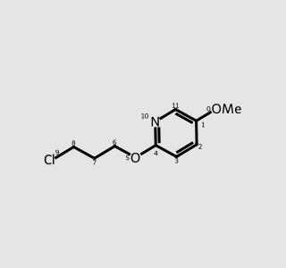 COc1ccc(OCCCCl)nc1